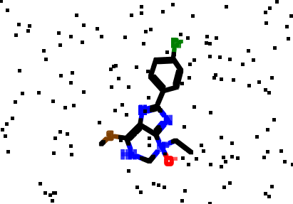 CC[N+]1([O-])CNC(SC)=C2N=C(c3ccc(Br)cc3)N=C21